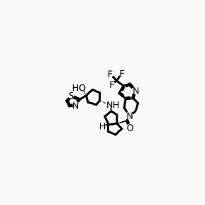 O=C(N1CCc2ncc(C(F)(F)F)cc2C1)[C@@]12CCC[C@@H]1C[C@@H](N[C@H]1CC[C@](O)(c3nccs3)CC1)C2